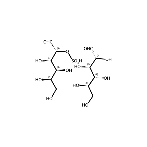 O=C[C@H](O)[C@@H](O)[C@H](O)[C@H](O)CO.O=C[C@H](OS(=O)(=O)O)[C@@H](O)[C@@H](O)[C@H](O)CO